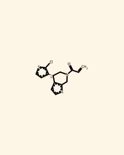 C=CC(=O)N1Cc2sccc2[C@H](c2ccsc2Cl)C1